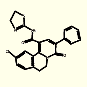 O=C(NC1=NCCS1)c1cc(-c2ccccc2)c(=O)n2c1-c1cc(Cl)ccc1CC2